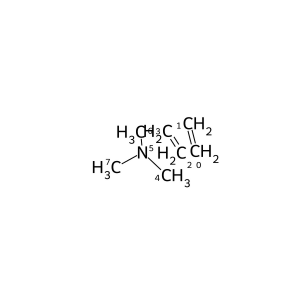 C=C.C=C.CN(C)C